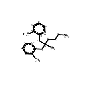 Cc1cccnc1CC(N)(CCCN)Cc1ncccc1C